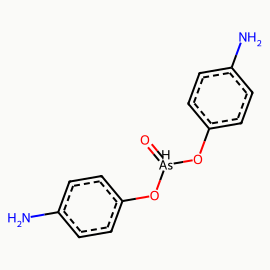 Nc1ccc(O[AsH](=O)Oc2ccc(N)cc2)cc1